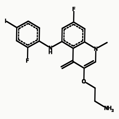 C=C1C(OCCN)=CN(C)c2cc(F)cc(Nc3ccc(I)cc3F)c21